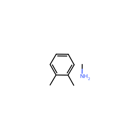 CN.Cc1ccccc1C